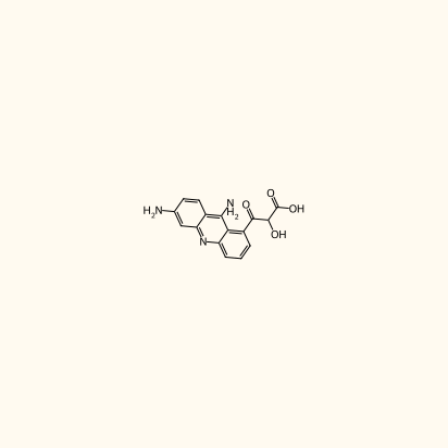 Nc1ccc2c(N)c3c(C(=O)C(O)C(=O)O)cccc3nc2c1